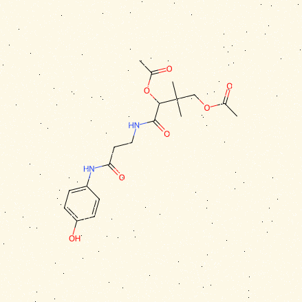 CC(=O)OCC(C)(C)C(OC(C)=O)C(=O)NCCC(=O)Nc1ccc(O)cc1